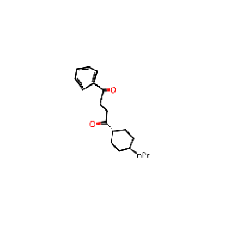 CCC[C@H]1CC[C@H](C(=O)CCC(=O)c2ccccc2)CC1